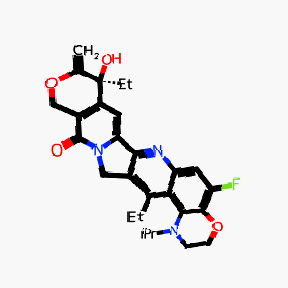 C=C1OCc2c(cc3n(c2=O)Cc2c-3nc3cc(F)c4c(c3c2CC)N(C(C)C)CCO4)[C@@]1(O)CC